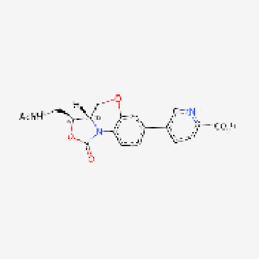 CC(=O)NC[C@@H]1OC(=O)N2c3ccc(-c4ccc(C(=O)O)nc4)cc3OC[C@@H]12